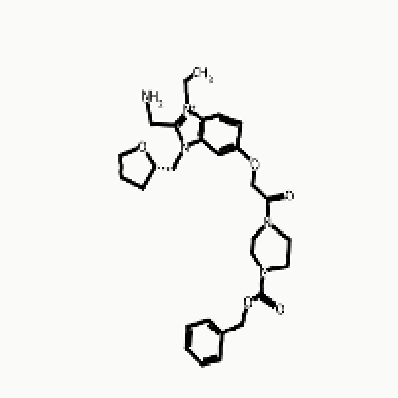 CC[n+]1c(CN)n(C[C@@H]2CCCO2)c2cc(OCC(=O)N3CCN(C(=O)OCc4ccccc4)CC3)ccc21